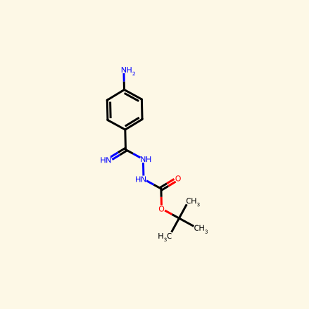 CC(C)(C)OC(=O)NNC(=N)c1ccc(N)cc1